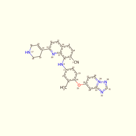 Cc1cc(Nc2c(C#N)ccc3ccc(C4=CCNCC4)nc23)ccc1Oc1ccn2ncnc2c1